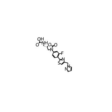 O=C(O)NC[C@H]1CN(c2ccc(-c3nc(Cn4cccn4)cs3)c(F)c2)C(=O)O1